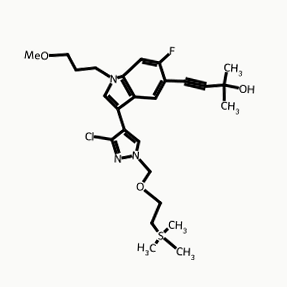 COCCCn1cc(-c2cn(COCCS(C)(C)C)nc2Cl)c2cc(C#CC(C)(C)O)c(F)cc21